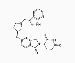 O=C1CCC(N2Cc3cc(OC4CCN(Cc5c[nH]c6ncccc56)C4)ccc3C2=O)C(=O)N1